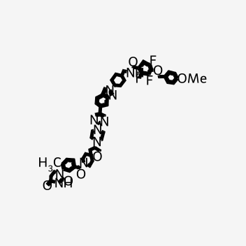 COc1ccc(COc2c(F)cc(C(=O)NCC3CCC(n4cc5ccc(-c6cnc(N7CCN(C8COC9(CCN(C(=O)c%10ccc(C)c(N%11CCC(=O)NC%11=O)c%10)CC9)C8)CC7)nc6)cc5n4)CC3)c(F)c2F)cc1